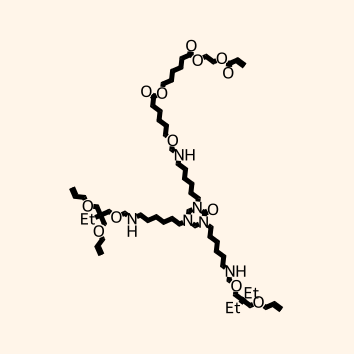 C=CCOCC(CC)(CC)COCNCCCCCCN1CN(CCCCCCNCOCC(CC)(COCC=C)COCC=C)CN(CCCCCCNCOCCCCCC(=O)OCCCCCC(=O)OCCOC(=O)C=C)C1=O